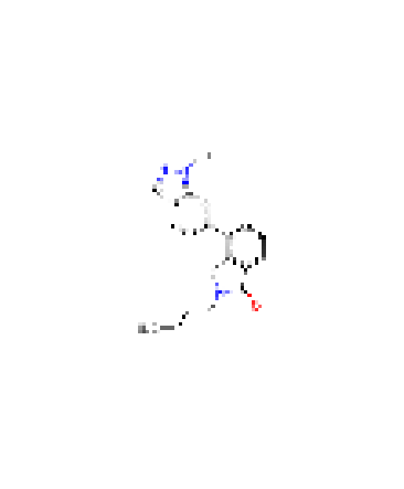 C=CCCN1Cc2c(cccc2-c2ccc3cnn(C)c3c2)C1=O